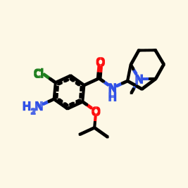 CC(C)Oc1cc(N)c(Cl)cc1C(=O)NC1CC2CCCC1N2C